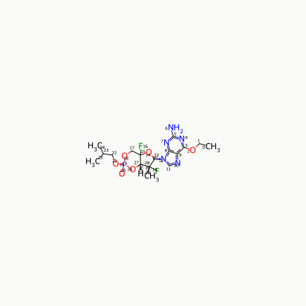 CCOc1nc(N)nc2c1ncn2[C@@H]1OC2(F)COP(=O)(OCC(C)C)O[C@H]2[C@@]1(C)F